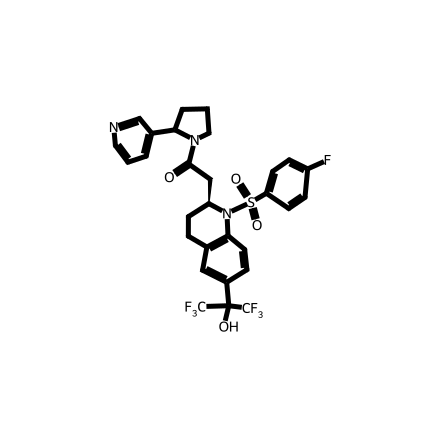 O=C(C[C@@H]1CCc2cc(C(O)(C(F)(F)F)C(F)(F)F)ccc2N1S(=O)(=O)c1ccc(F)cc1)N1CCCC1c1cccnc1